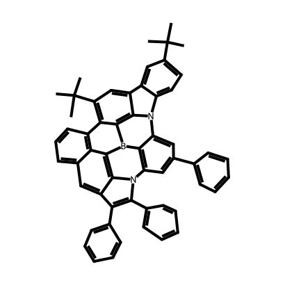 CC(C)(C)c1ccc2c(c1)c1cc(C(C)(C)C)c3c4c1n2-c1cc(-c2ccccc2)cc2c1B4c1c4c-3cccc4cc3c(-c4ccccc4)c(-c4ccccc4)n-2c13